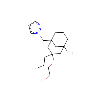 CCCC1(OCCO)CC2(C)CCCC(Cn3cccn3)(C2)C1